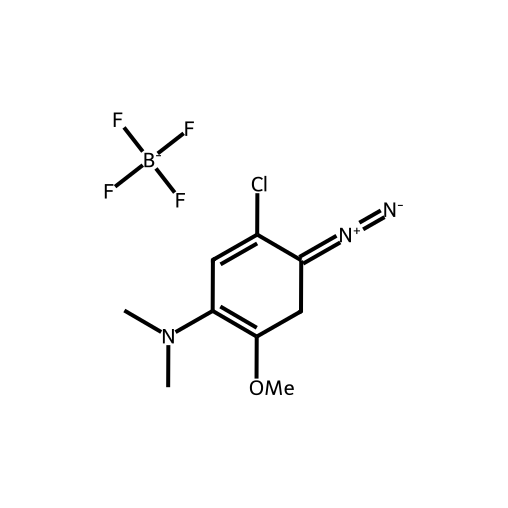 COC1=C(N(C)C)C=C(Cl)C(=[N+]=[N-])C1.F[B-](F)(F)F